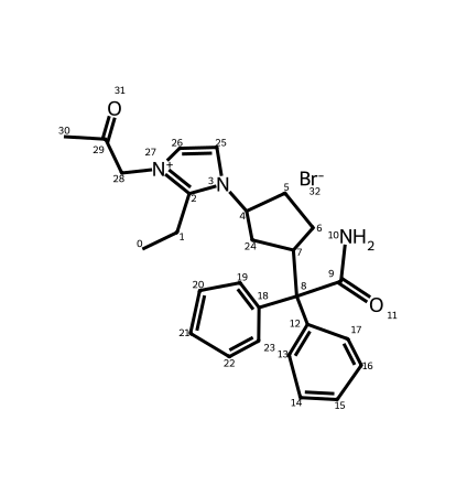 CCc1n(C2CCC(C(C(N)=O)(c3ccccc3)c3ccccc3)C2)cc[n+]1CC(C)=O.[Br-]